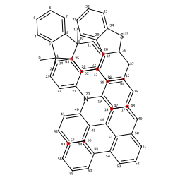 CC1(C)c2ccccc2C2(C)C=CC(c3ccccc3N(c3ccccc3C3=C4c5ccccc5SC4CC=C3)c3ccccc3-c3cccc4cccc(-c5ccccc5)c34)=CC12